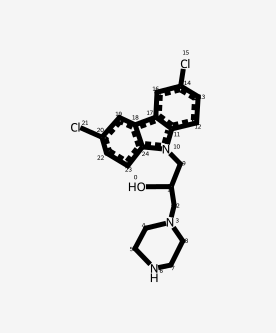 OC(CN1CCNCC1)Cn1c2ccc(Cl)cc2c2cc(Cl)ccc21